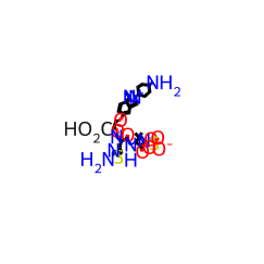 C[n+]1c2ccc(OC[C@H](O/N=C(\C(=O)N[C@@H]3C(=O)N(OS(=O)(=O)[O-])C3(C)C)c3csc(N)n3)C(=O)O)cc2cn1C1CCC(N)CC1